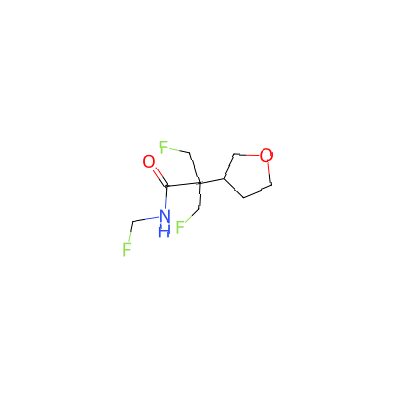 O=C(NCF)C(CF)(CF)C1CCOC1